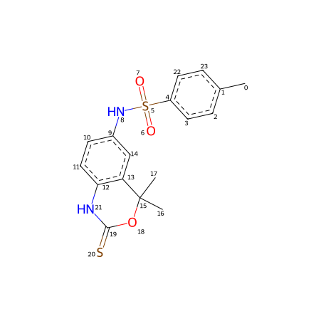 Cc1ccc(S(=O)(=O)Nc2ccc3c(c2)C(C)(C)OC(=S)N3)cc1